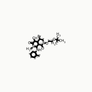 Cc1c2c(c(Nc3ccccc3F)n(C)c1=O)C(=O)N(OCCOC(C)(C)C)CC2Br